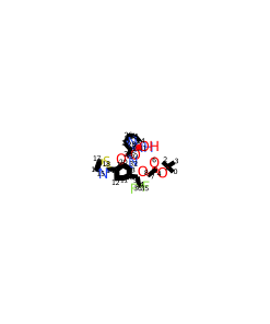 CC(C)(C)OC(=O)COC(c1ccc(-c2nccs2)c2oc(C3NCC4CC3N4C(=O)O)nc12)C(F)F